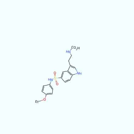 CCOc1ccc(NS(=O)(=O)c2ccc3[nH]cc(CCNC(=O)O)c3c2)cc1